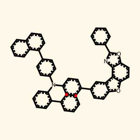 c1ccc(-c2nc3c(ccc4oc5ccc(-c6ccc(N(c7ccc(-c8cccc9ccccc89)cc7)c7ccccc7-c7ccccc7)cc6)cc5c43)o2)cc1